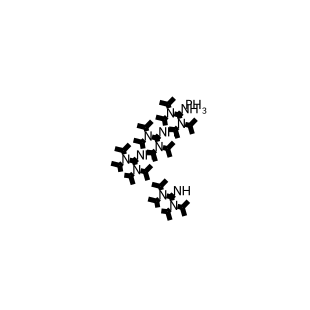 CC(C)N(C(=N)N(C(C)C)C(C)C)C(C)C.CC(C)N(C(=N)N(C(C)C)C(C)C)C(C)C.CC(C)N(C(=N)N(C(C)C)C(C)C)C(C)C.CC(C)N(C(=N)N(C(C)C)C(C)C)C(C)C.P